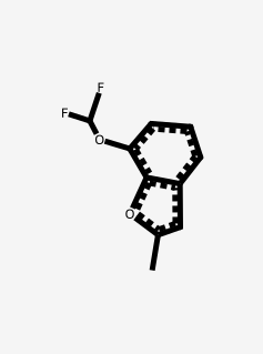 Cc1cc2cccc(OC(F)F)c2o1